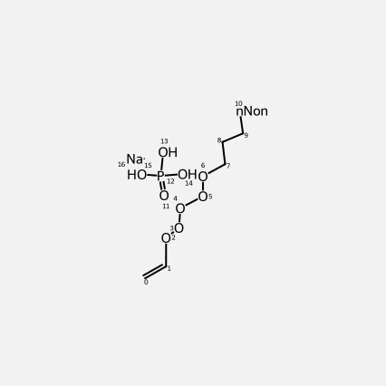 C=COOOOOCCCCCCCCCCCC.O=P(O)(O)O.[Na]